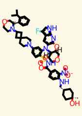 CC(C)c1ccccc1[C@@H]1COCCN1C1CC2(CCN(c3ccc(S(=O)(=O)NC(=O)c4ccc(NC[C@H]5CC[C@](C)(O)CC5)c([N+](=O)[O-])c4)c(N4c5cc6c(F)c[nH]c6nc5O[C@H]5COCC[C@@H]54)c3)CC2)C1